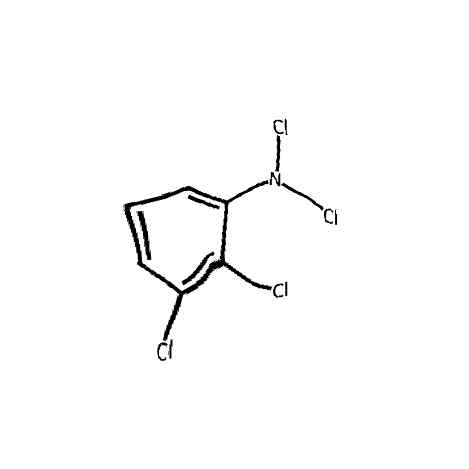 Clc1cccc(N(Cl)Cl)c1Cl